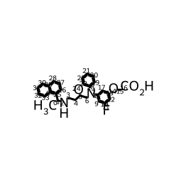 C[C@@H](NCCC1CN(c2cc(F)cc(OCC(=O)O)c2)c2ccccc2O1)c1cccc2ccccc12